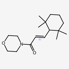 CC1(C)CCCC(C)(C)C1/C=C/C(=O)N1CCOCC1